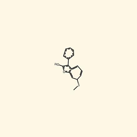 CSC1C=CC=c2c(-c3ccccc3)c(O)oc2=C1